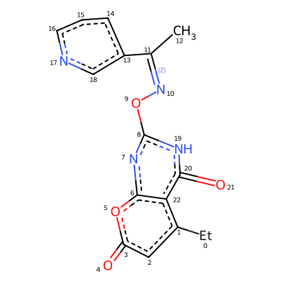 CCc1cc(=O)oc2nc(O/N=C(/C)c3cccnc3)[nH]c(=O)c12